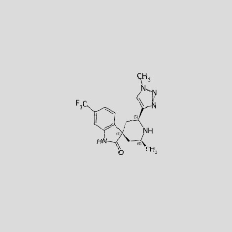 C[C@H]1C[C@@]2(C[C@@H](c3cn(C)nn3)N1)C(=O)Nc1cc(C(F)(F)F)ccc12